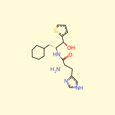 N[C@@H](Cc1c[nH]cn1)C(=O)N[C@H](CC1CCCCC1)[C@H](O)c1cccs1